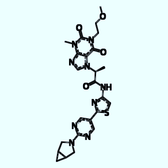 COCCn1c(=O)c2c(ncn2[C@@H](C)C(=O)Nc2csc(-c3cnc(N4CC5CC5C4)nc3)n2)n(C)c1=O